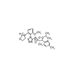 COc1cccc(OC)c1-n1c(NS(=O)(=O)[C@@H](C)[C@@H](OC(C)C)c2ccc(C)cn2)nnc1[C@H]1CCOC1